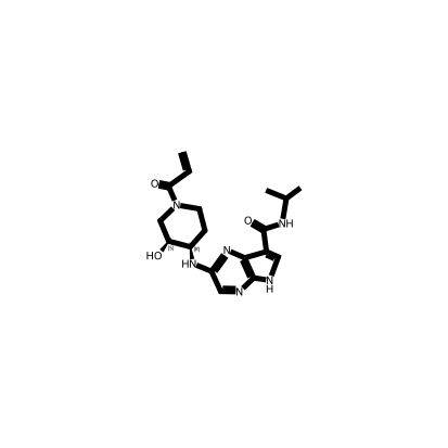 C=CC(=O)N1CC[C@@H](Nc2cnc3[nH]cc(C(=O)NC(C)C)c3n2)[C@@H](O)C1